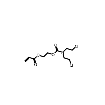 C=CC(=O)OCCOC(=O)N(CCCl)CCCl